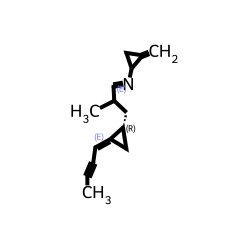 C=C1CC1/N=C/C(C)C[C@@H]1C/C1=C\C#CC